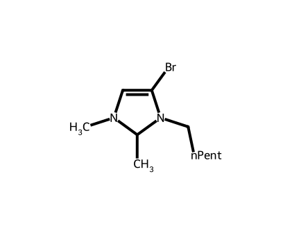 CCCCCCN1C(Br)=CN(C)C1C